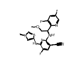 COCC(Nc1nc(Nc2cn(C)cn2)c(F)cc1C#N)c1ncc(F)cc1F